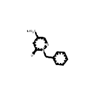 CCOC(=O)c1cnn(Cc2ccccc2)c(=O)c1